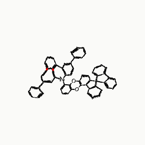 C1=CC2=C(CC1)C1(c3ccccc3-c3ccccc31)c1ccc3c(c12)Oc1cccc(N(c2cccc(-c4ccccc4)c2)c2ccc(-c4ccccc4)cc2-c2ccccc2)c1O3